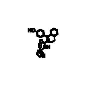 O=C(N[C@@H]1CN2CCC1CC2)N1CCc2ccccc2[C@@H]1c1ccc(O)cc1